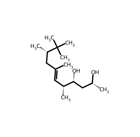 C/C(=C\[C@@H](C)[C@H](O)C[C@@H](C)O)C[C@H](C)C(C)(C)C